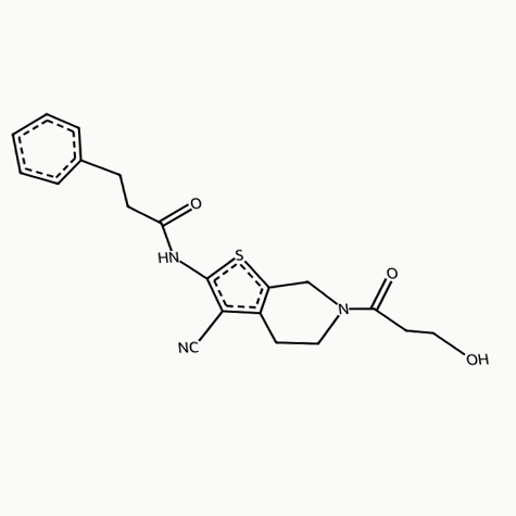 N#Cc1c(NC(=O)CCc2ccccc2)sc2c1CCN(C(=O)CCO)C2